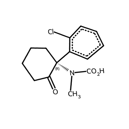 CN(C(=O)O)[C@@]1(c2ccccc2Cl)CCCCC1=O